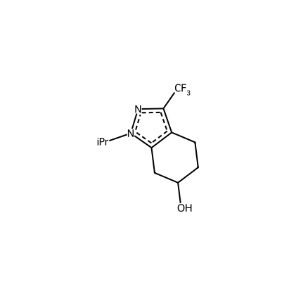 CC(C)n1nc(C(F)(F)F)c2c1CC(O)CC2